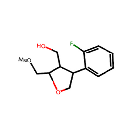 COCC1OCC(c2ccccc2F)C1CO